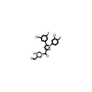 O=CC1CN(C(=O)c2cc(-c3cc(F)cc(Cl)c3)n(-c3ccc(F)c(Cl)c3)n2)CN1